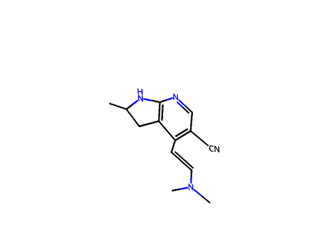 CC1Cc2c(ncc(C#N)c2/C=C/N(C)C)N1